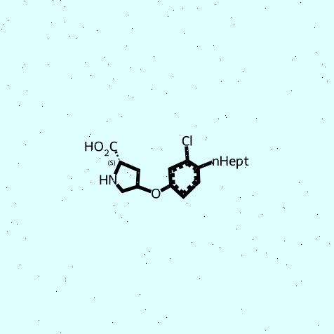 CCCCCCCc1ccc(OC2CN[C@H](C(=O)O)C2)cc1Cl